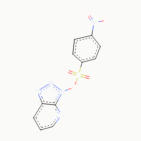 O=[N+]([O-])c1ccc(S(=O)(=O)On2nnc3cccnc32)cc1